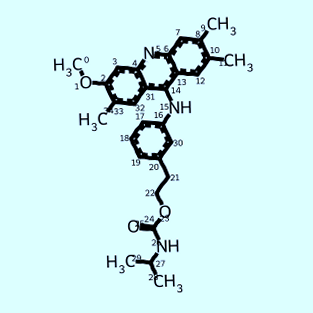 COc1cc2nc3cc(C)c(C)cc3c(Nc3cccc(CCOC(=O)NC(C)C)c3)c2cc1C